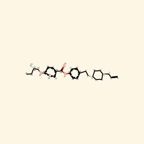 C=CC[C@H]1CC[C@H](CCc2ccc(OC(=O)c3ccc(OC[C@@H](C)CC)cc3)cc2)CC1